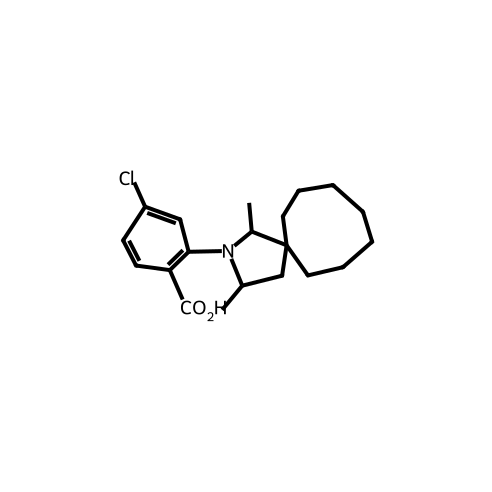 CC1CC2(CCCCCCC2)C(C)N1c1cc(Cl)ccc1C(=O)O